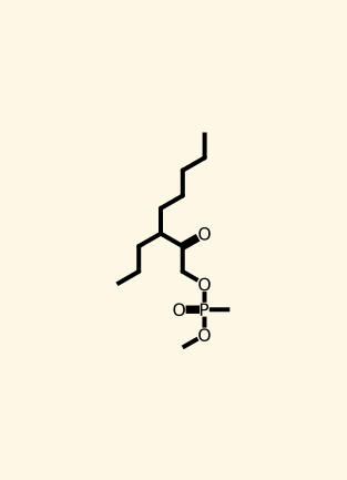 CCCCCC(CCC)C(=O)COP(C)(=O)OC